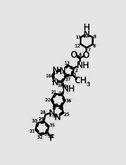 Cc1c(NC(=O)OC2CCNCC2)cn2ncnc(Nc3ccc4c(cnn4Cc4cccc(F)c4)c3)c12